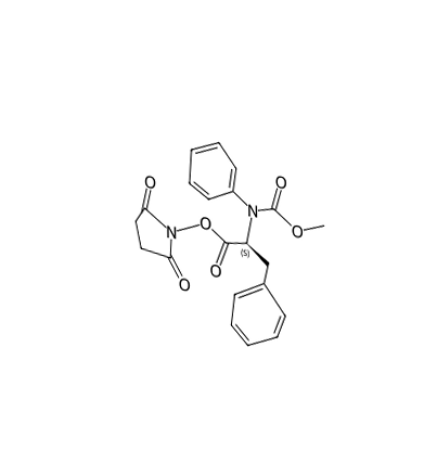 COC(=O)N(c1ccccc1)[C@@H](Cc1ccccc1)C(=O)ON1C(=O)CCC1=O